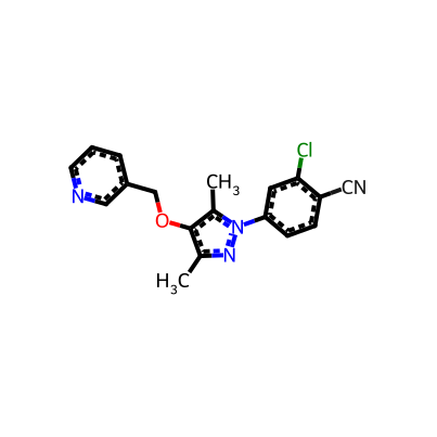 Cc1nn(-c2ccc(C#N)c(Cl)c2)c(C)c1OCc1cccnc1